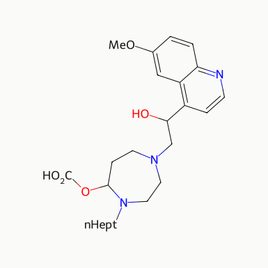 CCCCCCCN1CCN(CC(O)c2ccnc3ccc(OC)cc23)CCC1OC(=O)O